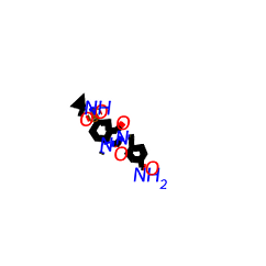 Cn1c(=O)n(Cc2ccc(C(N)=O)cc2)c(=O)c2cc(S(=O)(=O)NC3(C)CC3)ccc21